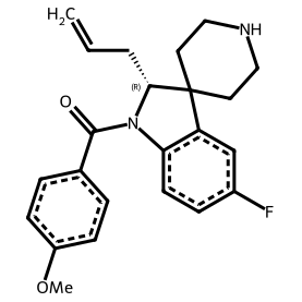 C=CC[C@H]1N(C(=O)c2ccc(OC)cc2)c2ccc(F)cc2C12CCNCC2